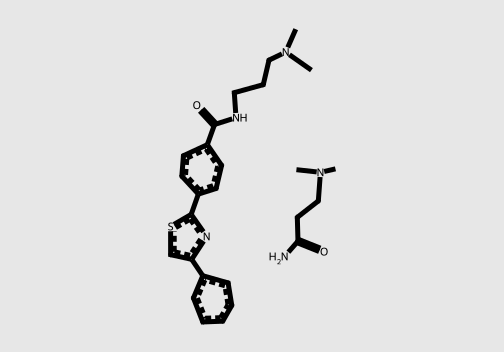 CN(C)CCC(N)=O.CN(C)CCCNC(=O)c1ccc(-c2nc(-c3ccccc3)cs2)cc1